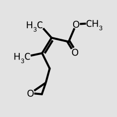 COC(=O)C(C)=C(C)CC1CO1